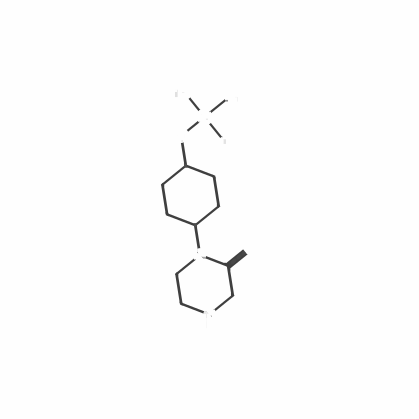 CC(C)[Si](OC1CCC(N2CCNCC2=O)CC1)(C(C)C)C(C)C